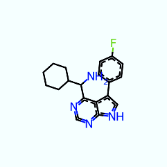 NC(c1ncnc2[nH]cc(-c3ccc(F)cc3)c12)C1CCCCC1